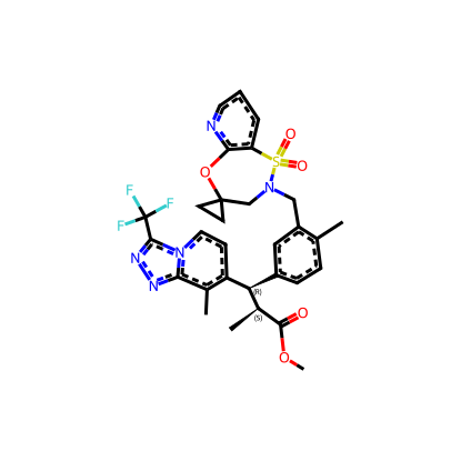 COC(=O)[C@@H](C)[C@H](c1ccc(C)c(CN2CC3(CC3)Oc3ncccc3S2(=O)=O)c1)c1ccn2c(C(F)(F)F)nnc2c1C